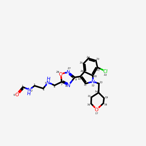 O=CNCCNCc1nc(-c2cn(CC3CCOCC3)c3c(Cl)cccc23)no1